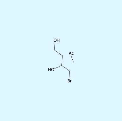 CC(C)=O.OCCC(O)CBr